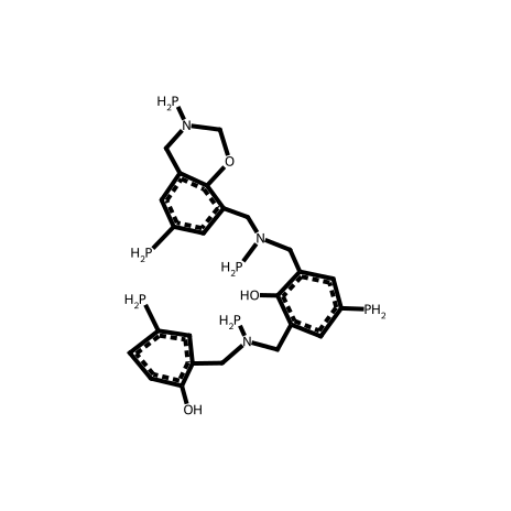 Oc1ccc(P)cc1CN(P)Cc1cc(P)cc(CN(P)Cc2cc(P)cc3c2OCN(P)C3)c1O